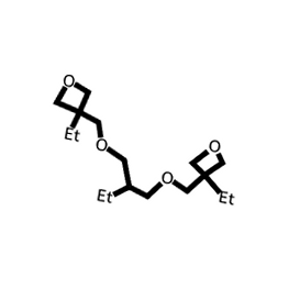 CCC(COCC1(CC)COC1)COCC1(CC)COC1